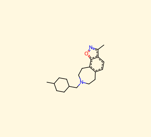 Cc1noc2c3c(ccc12)CCN(CC1CCC(C)CC1)CC3